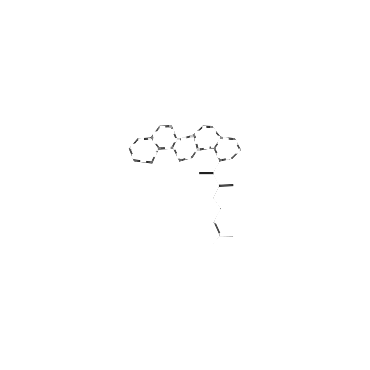 C=C(CCC=C(C)C)C(=C)c1cccc2ccc3c4ccc5ccccc5c4ccc3c12